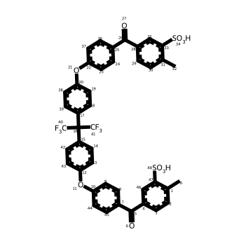 Cc1ccc(C(=O)c2ccc(Oc3ccc(C(c4ccc(Oc5ccc(C(=O)c6ccc(C)c(S(=O)(=O)O)c6)cc5)cc4)(C(F)(F)F)C(F)(F)F)cc3)cc2)cc1S(=O)(=O)O